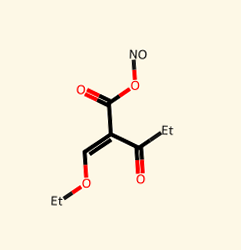 CCO/C=C(\C(=O)CC)C(=O)ON=O